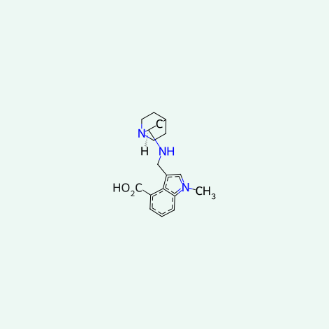 Cn1cc(CN[C@@H]2CC3CCN2CC3)c2c(C(=O)O)cccc21